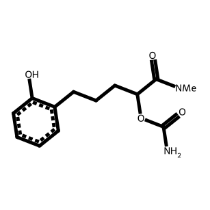 CNC(=O)C(CCCc1ccccc1O)OC(N)=O